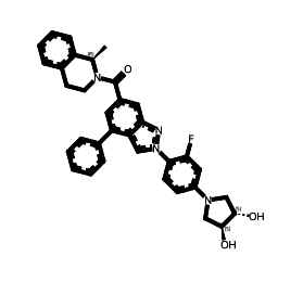 C[C@@H]1c2ccccc2CCN1C(=O)c1cc(-c2ccccc2)c2cn(-c3ccc(N4C[C@H](O)[C@@H](O)C4)cc3F)nc2c1